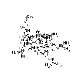 CCCCCCCCCCCCCC(=O)NCC(=O)NC(CCCN=C(N)N)C(=O)NC(C(=O)NCC(=O)NC(CCCN=C(N)N)C(=O)NC(CCCN=C(N)N)C(=O)NC(CC(N)=O)C(=O)NC(C)C(=O)NC(C(N)=O)C(C)CC)C(C)O